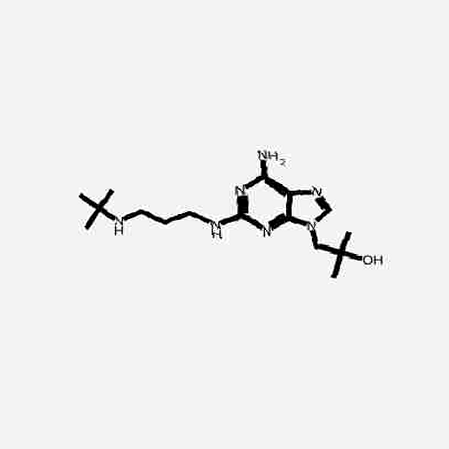 CC(C)(O)Cn1cnc2c(N)nc(NCCCNC(C)(C)C)nc21